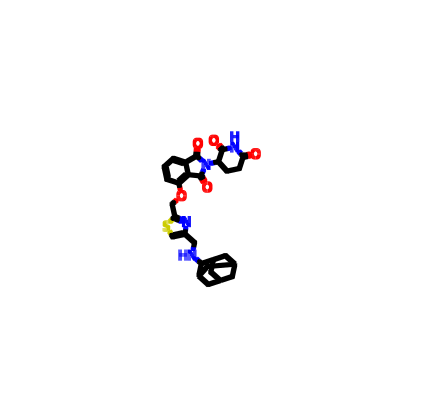 O=C1CCC(N2C(=O)c3cccc(OCc4nc(CNC5C6CC7CC(C6)CC5C7)cs4)c3C2=O)C(=O)N1